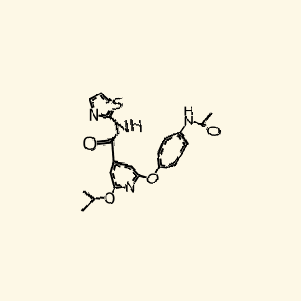 CC(=O)Nc1ccc(Oc2cc(C(=O)Nc3nccs3)cc(OC(C)C)n2)cc1